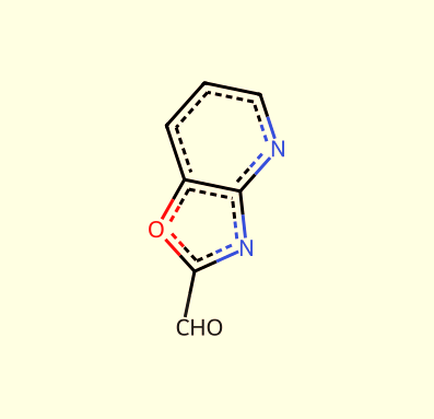 O=Cc1nc2ncccc2o1